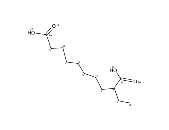 CCC(CCCCCCCC(=O)O)C(=O)O